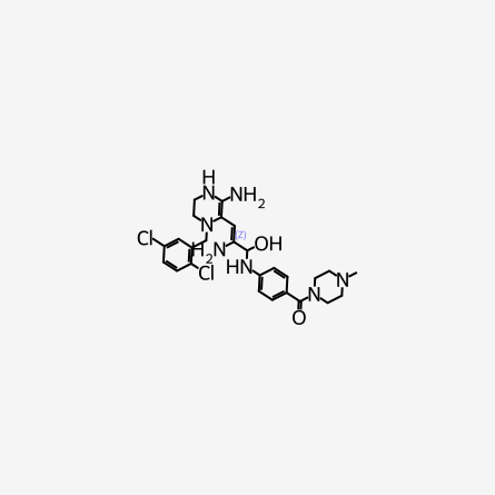 CN1CCN(C(=O)c2ccc(NC(O)/C(N)=C/C3=C(N)NCCN3Cc3cc(Cl)ccc3Cl)cc2)CC1